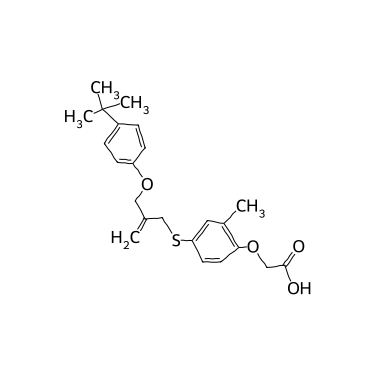 C=C(COc1ccc(C(C)(C)C)cc1)CSc1ccc(OCC(=O)O)c(C)c1